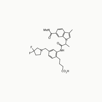 CNC(=O)c1ccc2c(C)cn(C(C)C(=O)Nc3cc(CN4CCC(F)(F)C4)ccc3CCCC(=O)O)c2c1